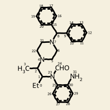 CCC(C(C)N1CCN(C(c2ccccc2)c2ccccc2)CC1)N(C=O)c1ccccc1N